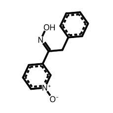 [O-][n+]1cccc(C(Cc2ccccc2)=NO)c1